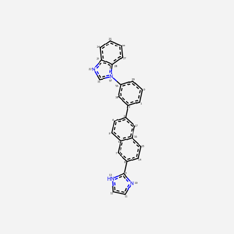 c1cc(-c2ccc3cc(-c4ncc[nH]4)ccc3c2)cc(-n2cnc3ccccc32)c1